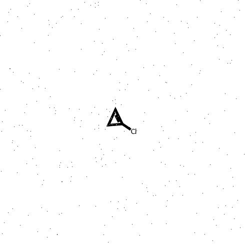 ClC1=CC1